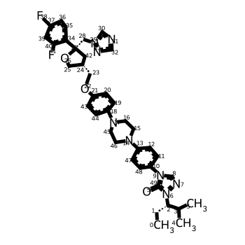 CC[C@@H](C(C)C)n1ncn(-c2ccc(N3CCN(c4ccc(OC[C@@H]5CO[C@@](Cn6cncn6)(c6ccc(F)cc6F)C5)cc4)CC3)cc2)c1=O